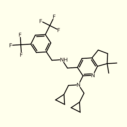 CC1(C)CCc2cc(CNCc3cc(C(F)(F)F)cc(C(F)(F)F)c3)c(N(CC3CC3)CC3CC3)nc21